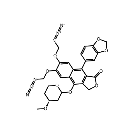 CO[C@H]1CCOC(Oc2c3c(c(-c4ccc5c(c4)OCO5)c4cc(OCN=[N+]=[N-])c(OCN=[N+]=[N-])cc24)C(=O)OC3)C1